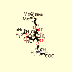 CCCCCCC(C)OC(=O)C(C#N)(CC)CC(C)(CC(C)(C)C(=O)OCCC[Si](OC)(OC)OC)C(=O)OCC[N+](C)(C)CCC(=O)[O-]